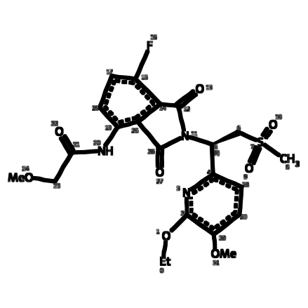 CCOc1nc([C@H](CS(C)(=O)=O)N2C(=O)c3c(F)ccc(NC(=O)COC)c3C2=O)ccc1OC